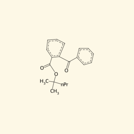 CCCC(C)(C)OC(=O)c1ccccc1C(=O)c1ccccc1